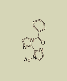 CC(=O)n1ccnc1-c1nccn1C(=O)c1ccccc1